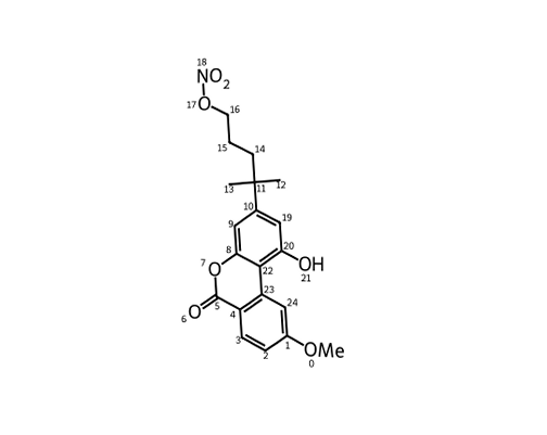 COc1ccc2c(=O)oc3cc(C(C)(C)CCCO[N+](=O)[O-])cc(O)c3c2c1